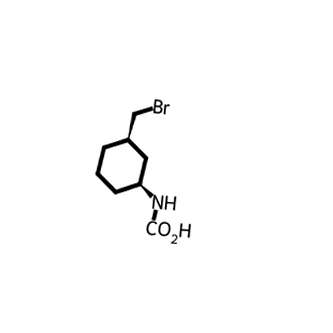 O=C(O)N[C@H]1CCC[C@@H](CBr)C1